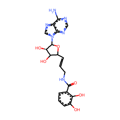 Nc1ncnc2c1ncn2C1OC(C=CCNC(=O)c2cccc(O)c2O)C(O)[C@H]1O